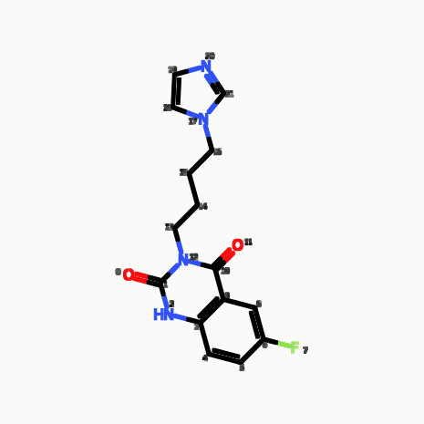 O=c1[nH]c2ccc(F)cc2c(=O)n1CCCCn1ccnc1